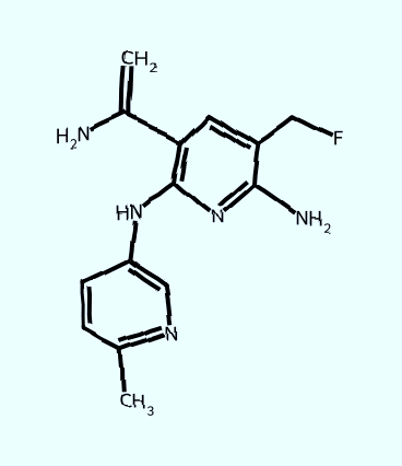 C=C(N)c1cc(CF)c(N)nc1Nc1ccc(C)nc1